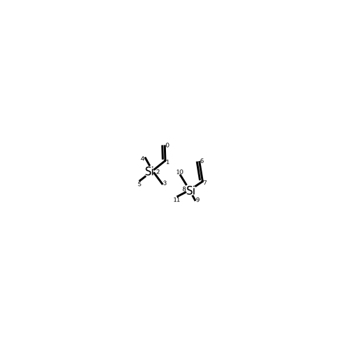 C=C[Si](C)(C)C.C=C[Si](C)(C)C